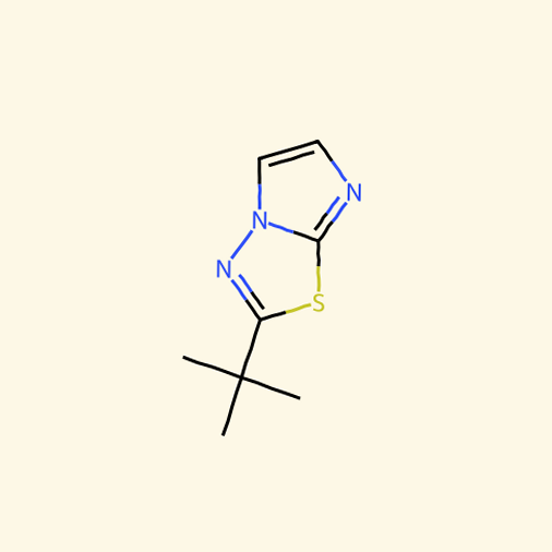 CC(C)(C)c1nn2ccnc2s1